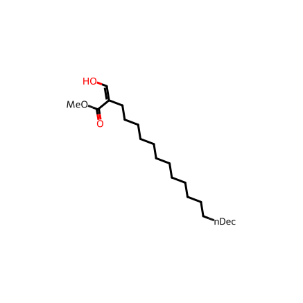 CCCCCCCCCCCCCCCCCCCCCCC(=CO)C(=O)OC